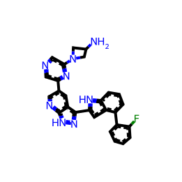 NC1CN(c2cncc(-c3cnc4[nH]nc(-c5cc6c(-c7ccccc7F)cccc6[nH]5)c4c3)n2)C1